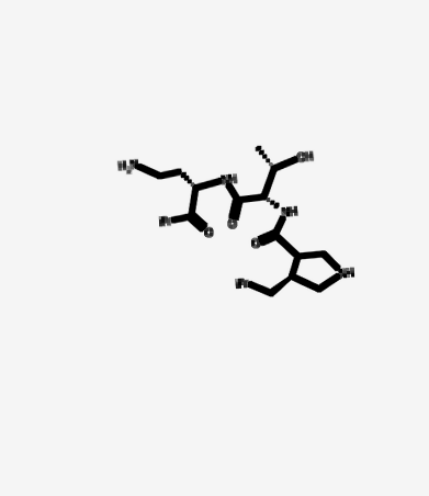 CC(C)C[C@@H]1CNCC1C(=O)N[C@H](C(=O)N[C@@H](CCN)C(=O)C(C)C)[C@H](C)O